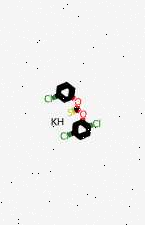 S=C(Oc1cccc(Cl)c1)Oc1cc(Cl)ccc1Cl.[KH]